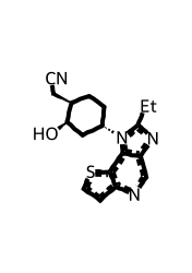 CCc1nc2cnc3ccsc3c2n1[C@H]1CC[C@H](CC#N)[C@H](O)C1